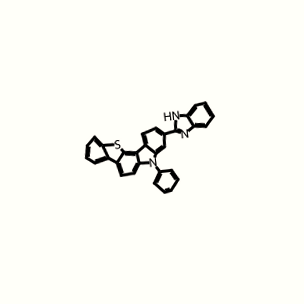 c1ccc(-n2c3cc(-c4nc5ccccc5[nH]4)ccc3c3c4sc5ccccc5c4ccc32)cc1